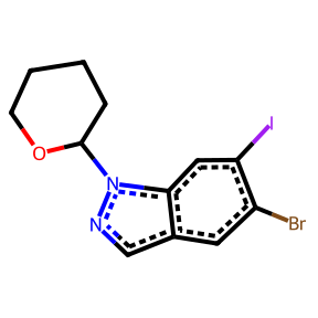 Brc1cc2cnn(C3CCCCO3)c2cc1I